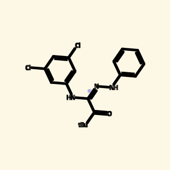 CC(C)(C)C(=O)/C(=N\Nc1ccccc1)Nc1cc(Cl)cc(Cl)c1